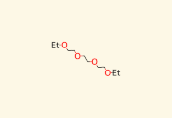 [CH2]COCCOCCOCCOCC